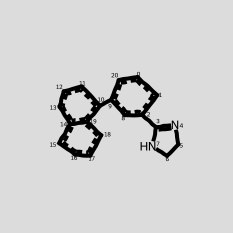 c1cc(C2=NCCN2)cc(-c2cccc3ccccc23)c1